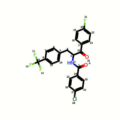 O=C(NC(Cc1ccc(C(F)(F)F)cc1)C(=O)c1ccc(F)cc1)c1ccc(Cl)cc1